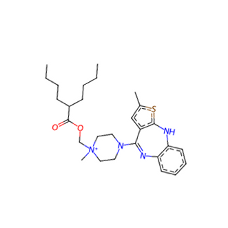 CCCCC(CCCC)C(=O)OC[N+]1(C)CCN(C2=Nc3ccccc3Nc3sc(C)cc32)CC1